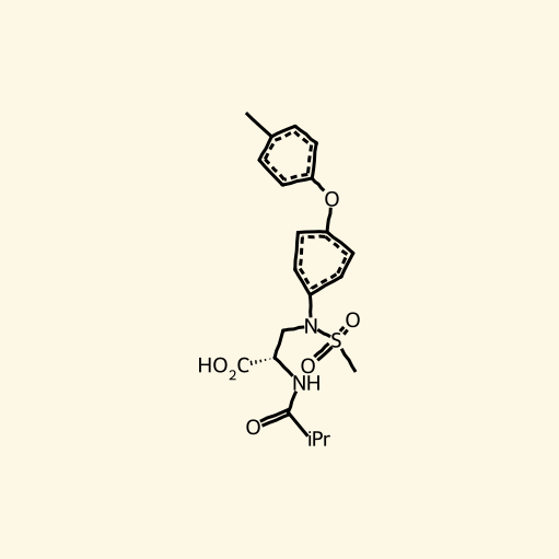 Cc1ccc(Oc2ccc(N(C[C@H](NC(=O)C(C)C)C(=O)O)S(C)(=O)=O)cc2)cc1